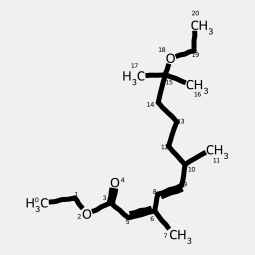 CCOC(=O)C=C(C)C=CC(C)CCCC(C)(C)OCC